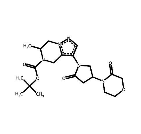 CC1Cn2ncc(N3CC(N4CCOCC4=O)CC3=O)c2CN1C(=O)OC(C)(C)C